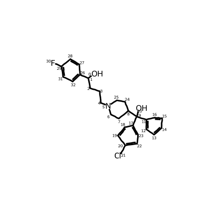 OC(CCCN1CCC(C(O)(c2ccccc2)c2ccc(Cl)cc2)CC1)c1ccc(F)cc1